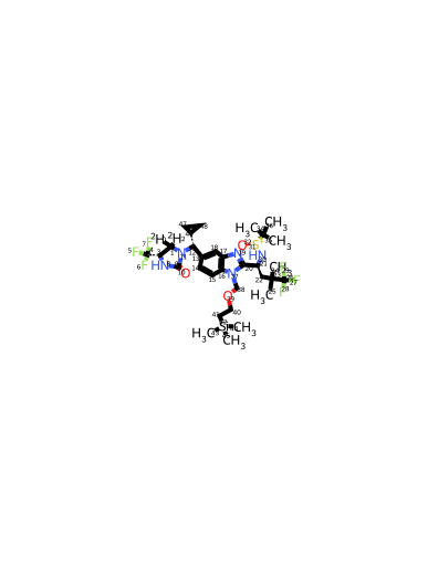 [2H]C1([2H])[C@@H](C(F)(F)F)NC(=O)N1[C@@H](c1ccc2c(c1)nc([C@H](CC(C)(C)C(F)(F)F)N[S@+]([O-])C(C)(C)C)n2COCC[Si](C)(C)C)C1CC1